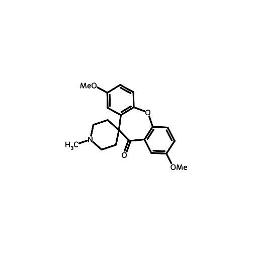 COc1ccc2c(c1)C(=O)C1(CCN(C)CC1)c1cc(OC)ccc1O2